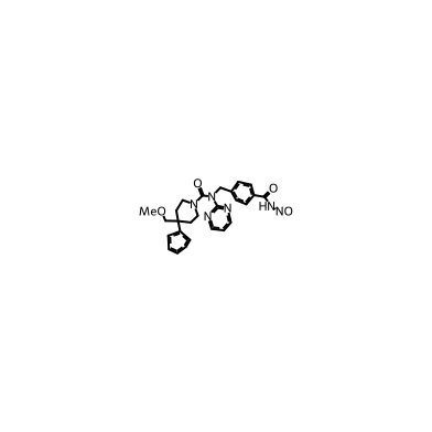 COCC1(c2ccccc2)CCN(C(=O)N(Cc2ccc(C(=O)NN=O)cc2)c2ncccn2)CC1